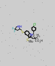 CC(C)(C)Sc1c(CC(C)(C)C(=O)O)n(Cc2ccc(Cl)cc2)c2ccc(SCC3CC(F)(F)CN3)cc12